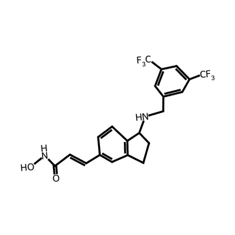 O=C(/C=C/c1ccc2c(c1)CCC2NCc1cc(C(F)(F)F)cc(C(F)(F)F)c1)NO